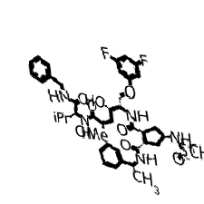 CO[C@H](C[C@H](O)[C@H](COc1cc(F)cc(F)c1)NC(=O)[C@H]1C[C@@H](N[S+](C)[O-])C[C@@H]1C(=O)N[C@H](C)C1=CCCC=C1)C(=O)N[C@H](C(=O)NCc1ccccc1)C(C)C